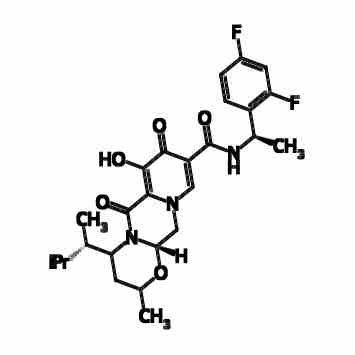 CC1CC([C@@H](C)C(C)C)N2C(=O)c3c(O)c(=O)c(C(=O)N[C@H](C)c4ccc(F)cc4F)cn3C[C@@H]2O1